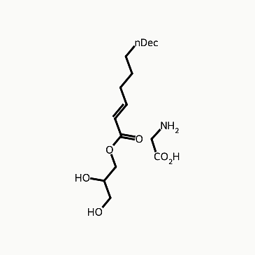 CCCCCCCCCCCCC/C=C/C(=O)OCC(O)CO.NCC(=O)O